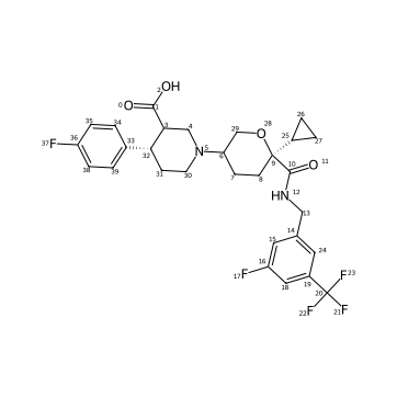 O=C(O)C1CN(C2CC[C@@](C(=O)NCc3cc(F)cc(C(F)(F)F)c3)(C3CC3)OC2)CC[C@@H]1c1ccc(F)cc1